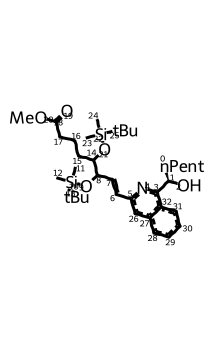 CCCCC[C@@H](O)c1nc(/C=C/C(O[Si](C)(C)C(C)(C)C)C(CCCC(=O)OC)O[Si](C)(C)C(C)(C)C)cc2ccccc12